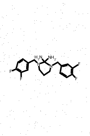 NC1(N)N(Cc2ccc(F)c(F)c2)CCCN1Cc1ccc(F)c(F)c1